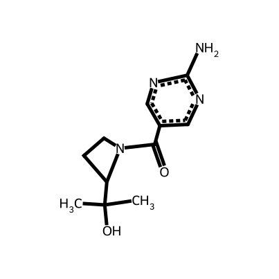 CC(C)(O)C1CCN1C(=O)c1cnc(N)nc1